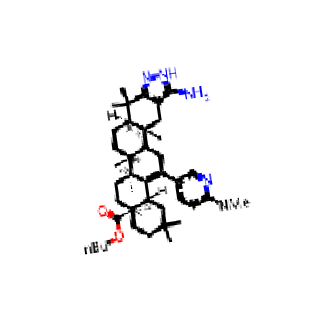 CCCCOC(=O)[C@]12CCC(C)(C)C[C@H]1C1=C(c3ccc(NC)nc3)CC3[C@@]4(C)Cc5c(n[nH]c5N)C(C)(C)[C@@H]4CC[C@@]3(C)[C@]1(C)CC2